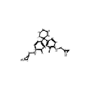 Cc1cc(C2(c3ccc(OCC4CO4)c(C)c3)CCCCC2)ccc1OCC1CO1